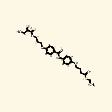 C=COC(=O)CCCOc1ccc(SC(=O)c2ccc(OCCCOC(=O)C(=C)CO)cc2)cc1